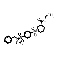 CCOC(=O)[C@@H]1CCCN(S(=O)(=O)c2ccc(S(=O)(=O)N(C)Cc3ccccc3)cc2)C1